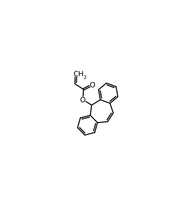 C=CC(=O)OC1c2ccccc2C=Cc2ccccc21